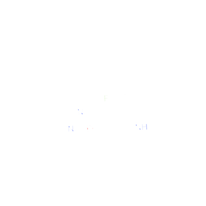 Fc1ccccc1C1CCNCc2cc(Oc3ncccn3)ccc21